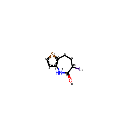 O=C1Nc2ccsc2CCC1I